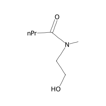 [CH2]CCC(=O)N(C)CCO